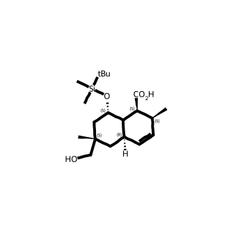 C[C@H]1C=C[C@H]2C[C@](C)(CO)C[C@H](O[Si](C)(C)C(C)(C)C)C2[C@H]1C(=O)O